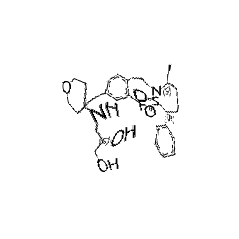 C[C@H]1CC[C@H](c2ccccc2)S(=O)(=O)N1Cc1ccc(C2(NC[C@H](O)CO)CCOCC2)cc1F